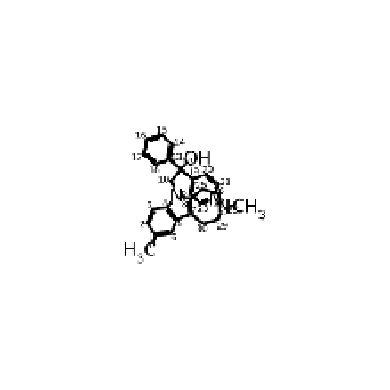 Cc1ccc2c(c1)c1c(n2CC(O)(c2ccccc2)c2ccncc2)CCN(C)CC1